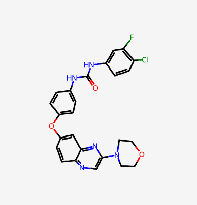 O=C(Nc1ccc(Oc2ccc3ncc(N4CCOCC4)nc3c2)cc1)Nc1ccc(Cl)c(F)c1